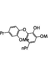 CCCc1ccc(Oc2cc(CCC)cc(OC)c2O)c(OC)c1